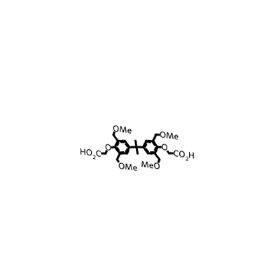 COCc1cc(C(C)(C)c2cc(COC)c(OCC(=O)O)c(COC)c2)cc(COC)c1OCC(=O)O